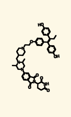 CCC(=C(c1ccc(O)cc1)c1ccc(OCCN2CCC(CN3C(C)CN(c4ccc5c(c4)C(=O)N(C4CCC(=O)NC4=O)C5=O)CC3C)CC2)cc1)c1ccc(O)cc1